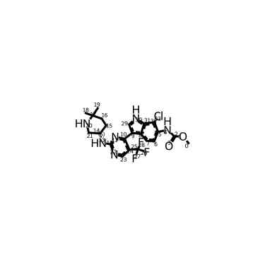 COC(=O)Nc1ccc2c(-c3nc(N[C@H]4CCC(C)(C)NC4)ncc3C(F)(F)F)c[nH]c2c1Cl